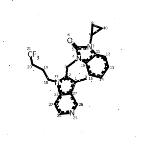 Cc1c(Cn2c(=O)n(C3CC3)c3ccccc32)n(CCCC(F)(F)F)c2ccncc12